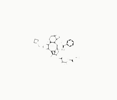 CC(=O)O[C@@]12CO[C@@H]1CC[C@@]1(C)[C@@H]3O[C@H](CN4CCC4)O[C@@H]3C3=C(C)[C@@H](OC(=O)[C@H](O)[C@@H](NC(=O)OC(C)(C)C)C(F)(F)F)C[C@@](O)([C@@H](OC(=O)c4ccccc4)[C@@H]12)C3(C)C